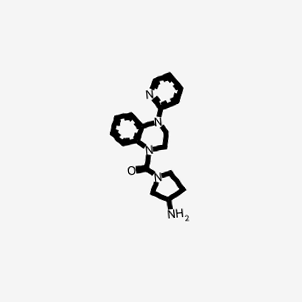 NC1CCN(C(=O)N2CCN(c3ccccn3)c3ccccc32)C1